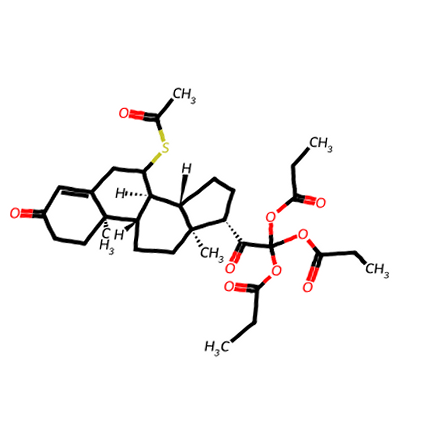 CCC(=O)OC(OC(=O)CC)(OC(=O)CC)C(=O)[C@H]1CC[C@H]2[C@@H]3C(SC(C)=O)CC4=CC(=O)CC[C@]4(C)[C@H]3CC[C@]12C